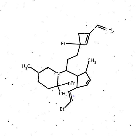 C=CC1=CC(CC)(CCC(C2C(C)C=CC2/C=C/CC)N2CC(C)CCC2(C)CCC)C1